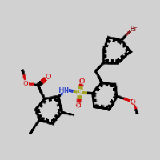 COC(=O)c1cc(C)cc(C)c1NS(=O)(=O)c1ccc(OC)cc1Cc1ccc(Br)cc1